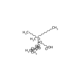 CCCCCCCCCCCC(OC[C@H](COP(=O)([O-])OCC[N+](C)(C)C)OCCCCC(=O)O)C(C)CCCCCC